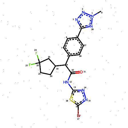 Cn1nnc(-c2ccc(C(C(=O)Nc3nnc(Br)s3)C3CCC(F)(F)C3)cc2)n1